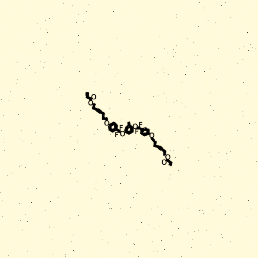 C=CC(=O)OCCC#CCCCOc1ccc(C(F)(F)Oc2ccc(OC(F)(F)c3ccc(OCCCC#CCCOC(=O)C=C)cc3)c(C)c2)cc1